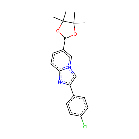 CC1(C)OB(c2ccc3nc(-c4ccc(Cl)cc4)cn3c2)OC1(C)C